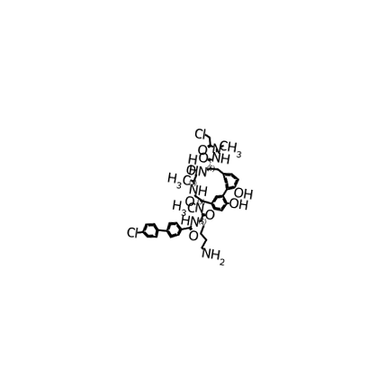 C[C@@H]1NC(=O)[C@@H](N(C)C(=O)[C@H](CCCCN)NC(=O)c2ccc(-c3ccc(Cl)cc3)cc2)c2ccc(O)c(c2)-c2cc(ccc2O)C[C@@H](C(=O)NN(C)C(=O)CCl)NC1O